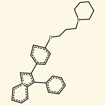 c1ccc(-c2c(-c3ccc(OCCCN4CCCCC4)cc3)cn3ccccc23)cc1